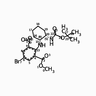 COC(=O)c1cc(Br)cc([N+](=O)[O-])c1N[C@@H]1CCCC[C@@H]1NC(=O)OC(C)(C)C